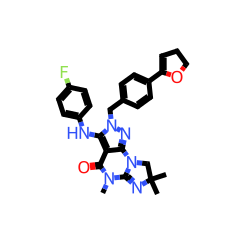 CN1C(=O)c2c(nn(Cc3ccc(C4=CCCO4)cc3)c2Nc2ccc(F)cc2)N2CC(C)(C)N=C12